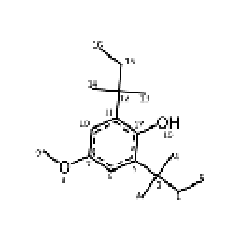 CCC(C)(C)c1cc(OC)cc(C(C)(C)CC)c1O